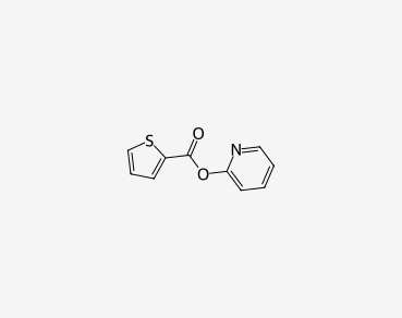 O=C(Oc1ccccn1)c1cccs1